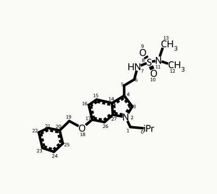 CC(C)Cn1cc(CCNS(=O)(=O)N(C)C)c2ccc(OCc3ccccc3)cc21